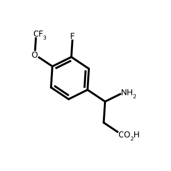 NC(CC(=O)O)c1ccc(OC(F)(F)F)c(F)c1